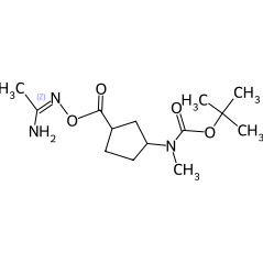 C/C(N)=N/OC(=O)C1CCC(N(C)C(=O)OC(C)(C)C)C1